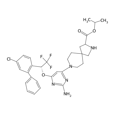 CC(C)OC(=O)C1CC2(CCN(c3cc(O[C@H](c4ccc(Cl)cc4-c4ccccc4)C(F)(F)F)nc(N)n3)CC2)CN1